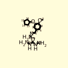 COc1ccc(/C=N/N)cc1OC1CCCC1.NNC(=O)NN